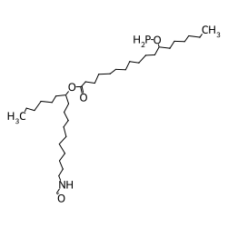 CCCCCCC(CCCCCCCCCCC(=O)OC(CCCCCC)CCCCCCCCCCNC=O)OP